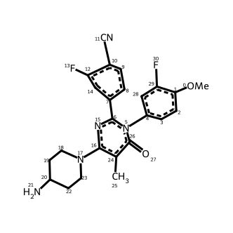 COc1ccc(-n2c(-c3ccc(C#N)c(F)c3)nc(N3CCC(N)CC3)c(C)c2=O)cc1F